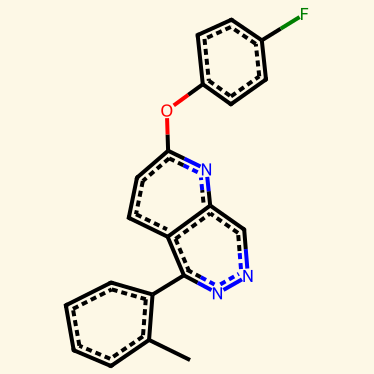 Cc1ccccc1-c1nncc2nc(Oc3ccc(F)cc3)ccc12